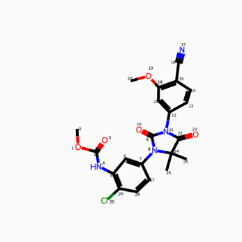 COC(=O)Nc1cc(N2C(=O)N(c3ccc(C#N)c(OC)c3)C(=O)C2(C)C)ccc1Cl